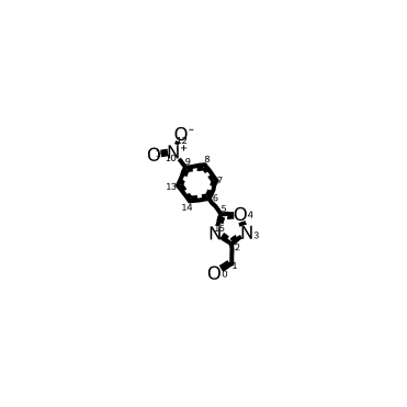 O=Cc1noc(-c2ccc([N+](=O)[O-])cc2)n1